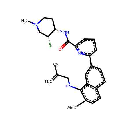 C=C(C#N)CNc1c(OC)ccc2ccc(-c3cccc(C(=O)N[C@H]4CCN(C)C[C@H]4F)n3)cc12